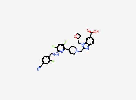 N#Cc1ccc(CNc2nc(C3=CCN(Cc4nc5ccc(C(=O)O)cc5n4C[C@@H]4CCO4)CC3)c(F)cc2F)c(F)c1